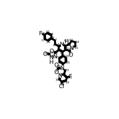 O=C1c2c(nc(CCc3ccc(F)cc3)c(-c3n[nH]c(=O)o3)c2-c2ccc3c(c2)oc(=O)n3Cc2ncc(Cl)cc2F)[C@@H]2CCCN12